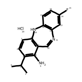 CC(C)c1ccc2c(c1N)C=Nc1cc(F)ccc1N2.Cl